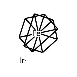 [CH]12[CH]3[CH]4[CH]5[CH]1[Fe]23451678[CH]2[CH]1[CH]6[CH]7[CH]28.[Ir]